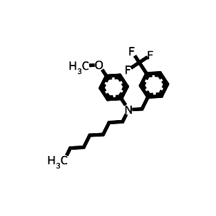 CCCCCCCN(Cc1cccc(C(F)(F)F)c1)c1ccc(OC)cc1